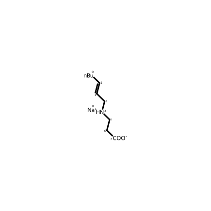 CCCCC=CCNCCC(=O)[O-].[Na+]